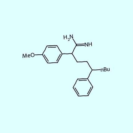 C[CH]CCC(CCC(C(=N)N)c1ccc(OC)cc1)c1ccccc1